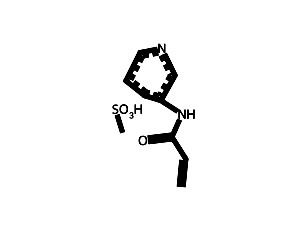 C=CC(=O)Nc1cccnc1.CS(=O)(=O)O